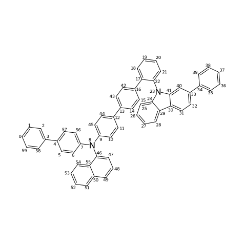 c1ccc(-c2ccc(N(c3ccc(-c4ccc(-c5ccccc5-n5c6ccccc6c6ccc(-c7ccccc7)cc65)cc4)cc3)c3cccc4ccccc34)cc2)cc1